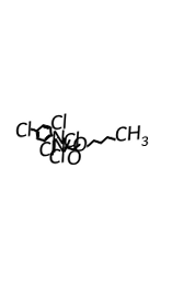 CCCCCCOC(=O)C(Cl)(Cl)/N=N/c1c(Cl)cc(Cl)cc1Cl